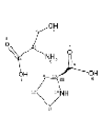 NC(CO)C(=O)O.O=C(O)[C@@H]1CCCN1